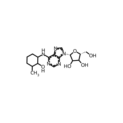 CC1CCCC(Nc2ncnc3c2ncn3[C@@H]2O[C@H](CO)C(O)C2O)C1O